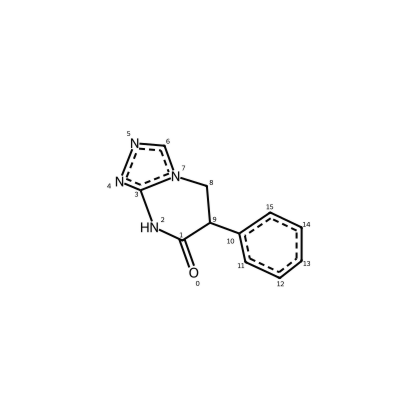 O=C1Nc2nncn2CC1c1ccccc1